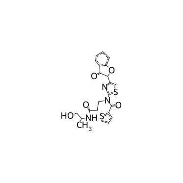 CC(CO)NC(=O)CCN(C(=O)c1cccs1)c1nc(C2Oc3ccccc3C2=O)cs1